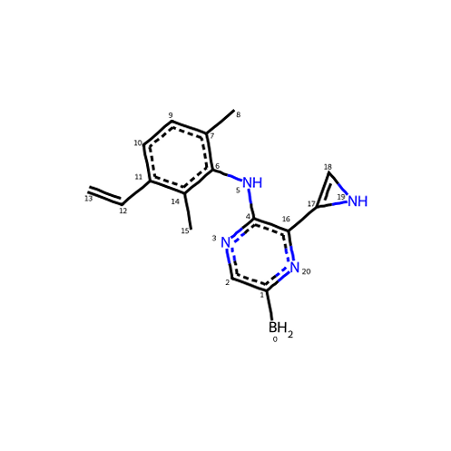 Bc1cnc(Nc2c(C)ccc(C=C)c2C)c(C2=CN2)n1